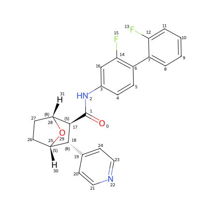 O=C(Nc1ccc(-c2ccccc2F)c(F)c1)[C@H]1[C@H](c2ccncc2)[C@@H]2CC[C@H]1O2